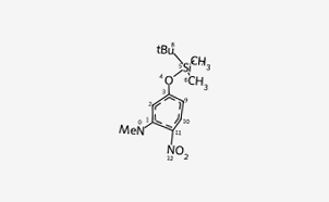 CNc1cc(O[Si](C)(C)C(C)(C)C)ccc1[N+](=O)[O-]